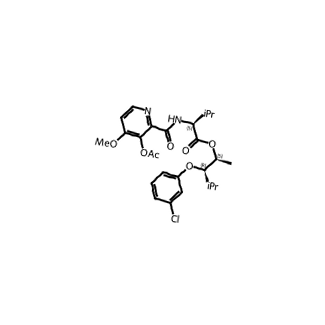 COc1ccnc(C(=O)N[C@H](C(=O)O[C@@H](C)[C@H](Oc2cccc(Cl)c2)C(C)C)C(C)C)c1OC(C)=O